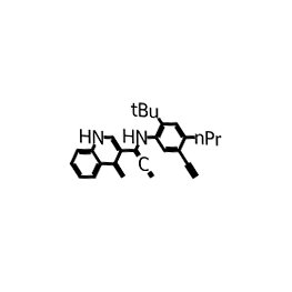 C#Cc1cc(NC(=C=C)C2=CNc3ccccc3C2=C)c(C(C)(C)C)cc1CCC